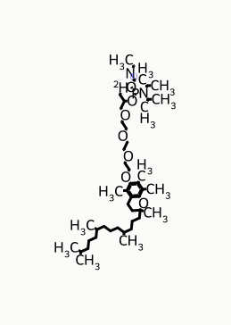 [2H]CC(COCCOCCOCCOc1c(C)c(C)c2c(c1C)CCC(C)(CCCC(C)CCCC(C)CCCC(C)C)O2)OP(O/C=N/CC)N(C(C)C)C(C)C